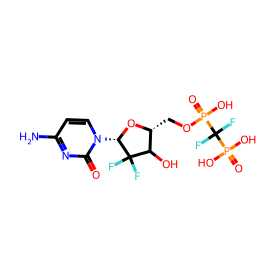 Nc1ccn([C@@H]2O[C@H](COP(=O)(O)C(F)(F)P(=O)(O)O)C(O)C2(F)F)c(=O)n1